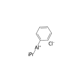 C[CH](C)[Al+][c]1ccccc1.[Cl-]